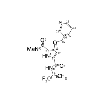 CNC(=O)c1[nH]c(C(=O)NC(C)C(F)(F)F)cc1OCc1ccccc1